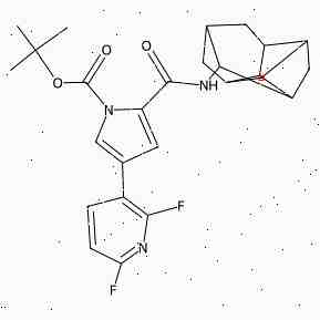 CC(C)(C)OC(=O)n1cc(-c2ccc(F)nc2F)cc1C(=O)NC1C2CC3CC4CC1C3C4C2